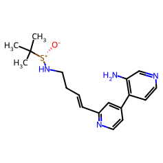 CC(C)(C)[S@+]([O-])NCCC=Cc1cc(-c2ccncc2N)ccn1